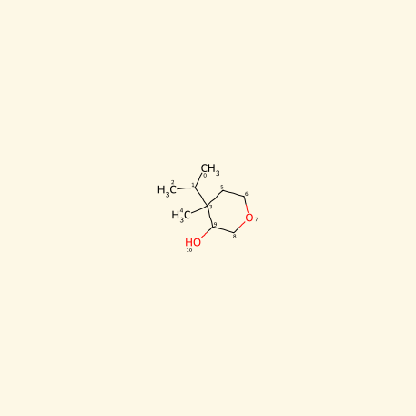 CC(C)C1(C)CCOCC1O